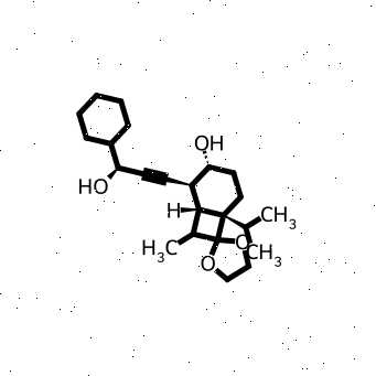 CC1[C@@H]2[C@@H](C#C[C@@H](O)C3CCCCC3)[C@H](O)CC[C@]2(C(C)C)C12OCCO2